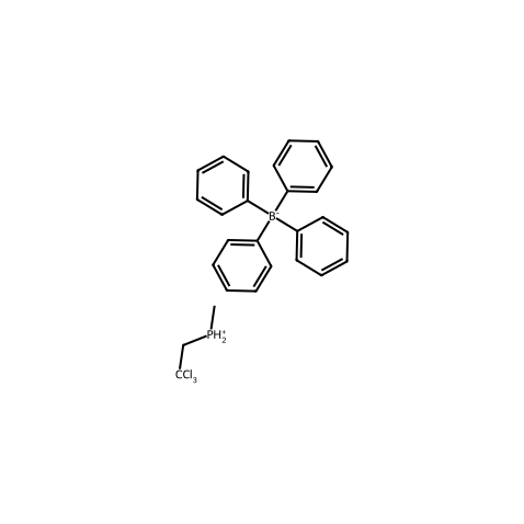 C[PH2+]CC(Cl)(Cl)Cl.c1ccc([B-](c2ccccc2)(c2ccccc2)c2ccccc2)cc1